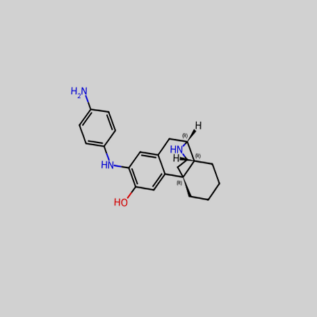 Nc1ccc(Nc2cc3c(cc2O)[C@@]24CCCC[C@H]2[C@@H](C3)NCC4)cc1